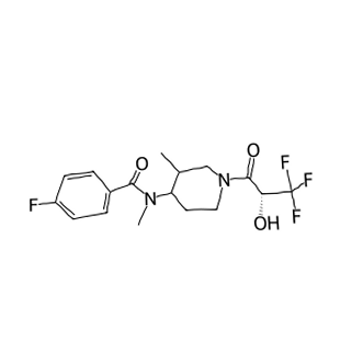 CC1CN(C(=O)[C@@H](O)C(F)(F)F)CCC1N(C)C(=O)c1ccc(F)cc1